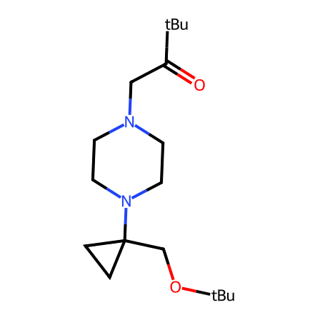 CC(C)(C)OCC1(N2CCN(CC(=O)C(C)(C)C)CC2)CC1